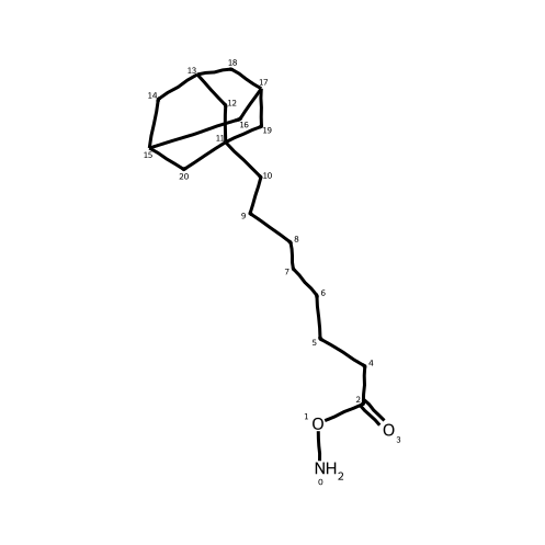 NOC(=O)CCCCCCCC12CC3CC(CC(C3)C1)C2